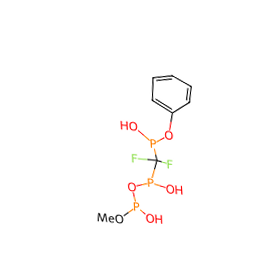 COP(O)OP(O)C(F)(F)P(O)Oc1ccccc1